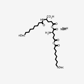 CCCCCCCCCCCCCCCCCC(=O)N[C@H](CCC(=O)OC(=O)[C@H](N)CCC(=O)OC(=O)CCCCCCCCCCCCCCCCC)C(=O)O.[NaH].[NaH]